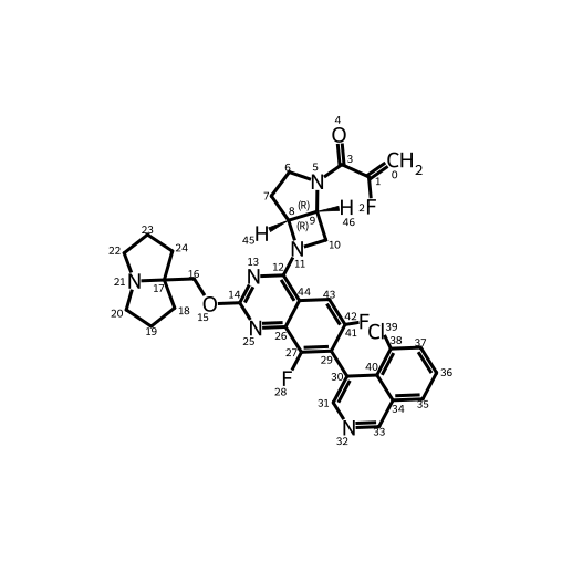 C=C(F)C(=O)N1CC[C@@H]2[C@H]1CN2c1nc(OCC23CCCN2CCC3)nc2c(F)c(-c3cncc4cccc(Cl)c34)c(F)cc12